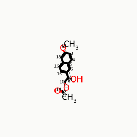 COc1ccc2cc([C@H](O)COC(C)=O)ccc2c1